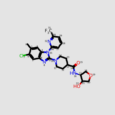 Cc1cc2c(cc1Cl)nc(N1CCC(C(=O)N[C@H]3COCC3O)CC1)n2-c1cccc(C(F)(F)F)n1